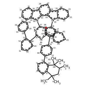 CC1CC(C)(C)c2cccc(-c3ccc(-c4ccc(-n5c6ccccc6c6ccc7c8ccccc8n(-c8nc(-c9ccccc9)nc(-c9ccccc9-c9ccccc9)n8)c7c65)cc4)cc3)c2C1(C)C